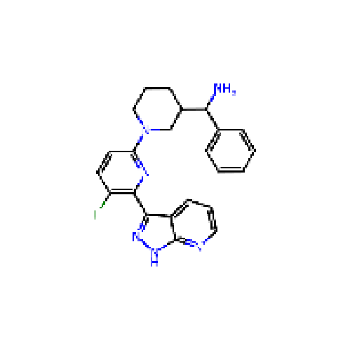 NC(c1ccccc1)C1CCCN(c2ccc(F)c(-c3n[nH]c4ncccc34)n2)C1